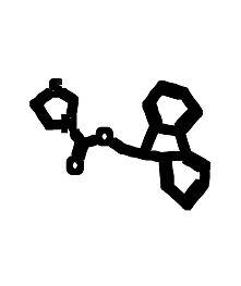 O=C(OCC1c2ccccc2-c2ccccc21)N1CCSC1